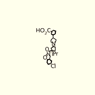 CC(C)[C@]1(C(=O)N2COc3ccc(Cl)cc3C2)CC[C@@H](N2CCC(c3cccc(C(=O)O)c3)CC2)C1